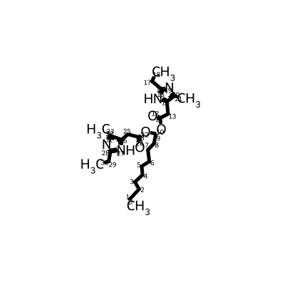 CCCCCCCCCC(OC(=O)Cc1[nH]c(CC)nc1C)OC(=O)Cc1[nH]c(CC)nc1C